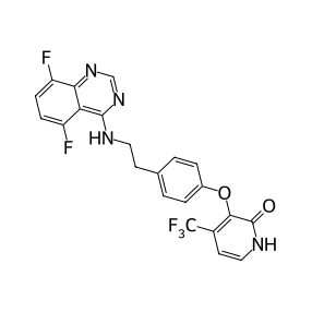 O=c1[nH]ccc(C(F)(F)F)c1Oc1ccc(CCNc2ncnc3c(F)ccc(F)c23)cc1